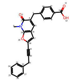 Cn1c(=O)c(Cc2ccc(C(=O)O)cc2)cc2cc(C#CCc3ccccc3)oc21